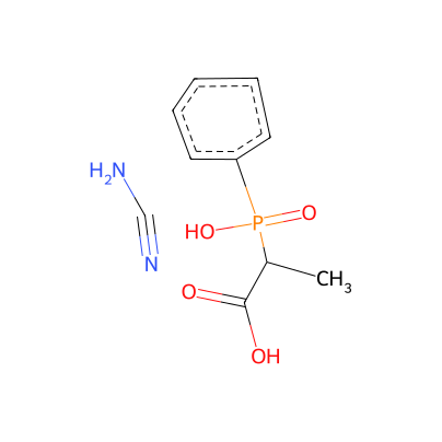 CC(C(=O)O)P(=O)(O)c1ccccc1.N#CN